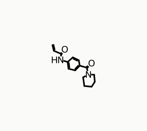 C=CC(=O)Nc1ccc(C(=O)N2CCCCC2)cc1